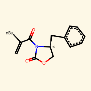 C=C(CCCC)C(=O)N1C(=O)OC[C@@H]1Cc1ccccc1